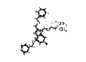 C[Si](C)(C)CCOCn1c(COCc2ccccc2)nc2c(OCc3ccccc3)cc(F)cc21